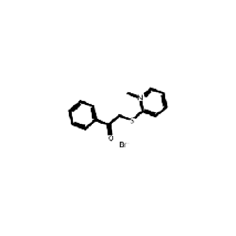 C[n+]1ccccc1SCC(=O)c1ccccc1.[Br-]